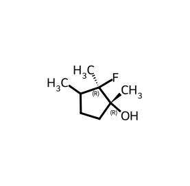 CC1CC[C@@](C)(O)[C@]1(C)F